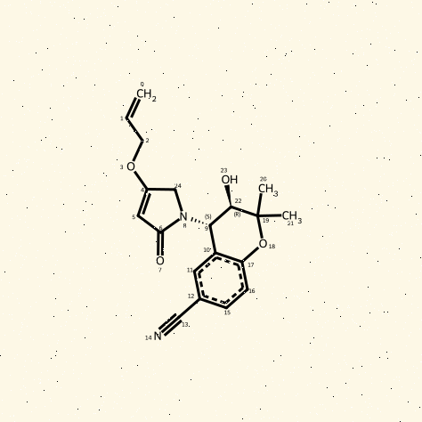 C=CCOC1=CC(=O)N([C@H]2c3cc(C#N)ccc3OC(C)(C)[C@@H]2O)C1